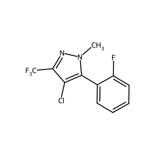 Cn1nc(C(F)(F)F)c(Cl)c1-c1ccccc1F